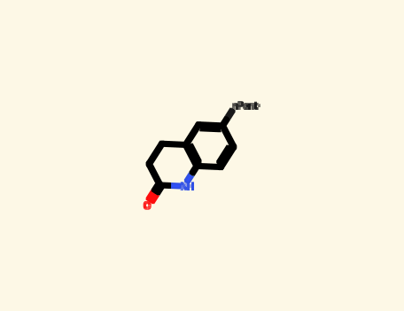 CCCC[CH]c1ccc2c(c1)CCC(=O)N2